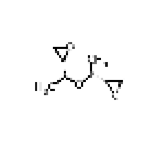 CC(OC(C)[C@@H]1CO1)[C@@H]1CO1